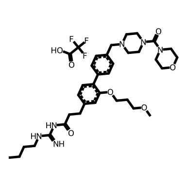 CCCCNC(=N)NC(=O)CCc1ccc(-c2ccc(CN3CCN(C(=O)N4CCOCC4)CC3)cc2)c(OCCCOC)c1.O=C(O)C(F)(F)F